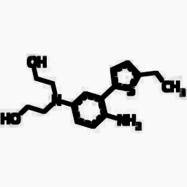 CCc1ccc(-c2cc(N(CCO)CCO)ccc2N)s1